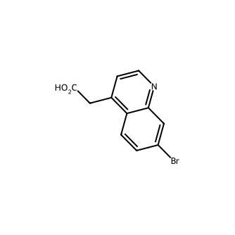 O=C(O)Cc1ccnc2cc(Br)ccc12